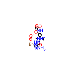 CCn1c(CNC(=O)c2nc(Br)cnc2N)[n+](CC)c2ccc(C(=O)N[C@H]3CCOC3=O)cc21.O=C[O-]